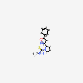 CNC(=S)N1CCC[C@@H]1C1=NOC(C2C=CC=CC2)C1